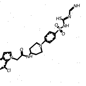 N=C/N=C(\S)NS(=O)(=O)c1ccc(N2CCC(NC(=O)Cn3ccc4cccc(Cl)c43)CC2)cc1